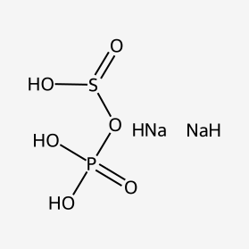 O=S(O)OP(=O)(O)O.[NaH].[NaH]